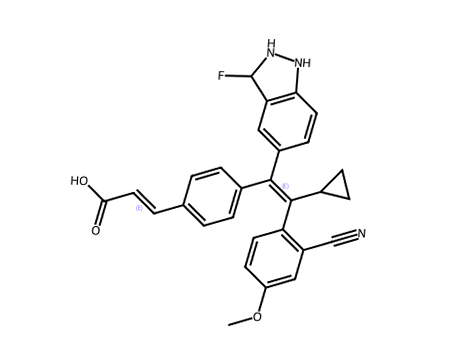 COc1ccc(/C(=C(\c2ccc(/C=C/C(=O)O)cc2)c2ccc3c(c2)C(F)NN3)C2CC2)c(C#N)c1